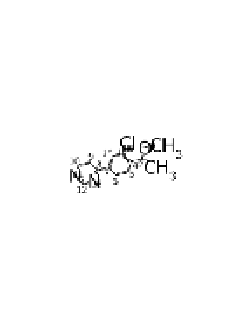 COC(C)c1ccc(-c2ccncn2)cc1Cl